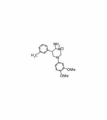 COc1ccc(N2CCC(N)C(c3cccc(C)c3)C2)cc1OC.Cl